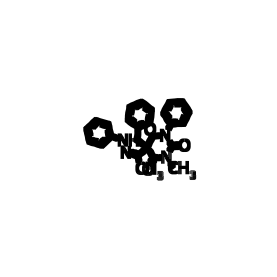 CC(=NNc1ccccc1)C1(Cc2ccccc2)C(=O)N(C)C(=O)N(c2ccccc2)C1=O